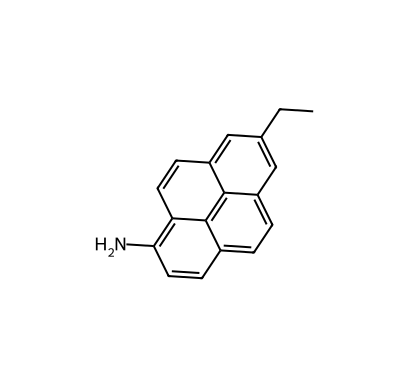 CCc1cc2ccc3ccc(N)c4ccc(c1)c2c34